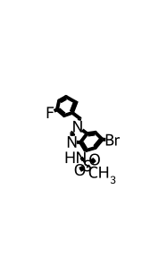 CS(=O)(=O)Nc1cc(Br)cc2c1ncn2Cc1cccc(F)c1